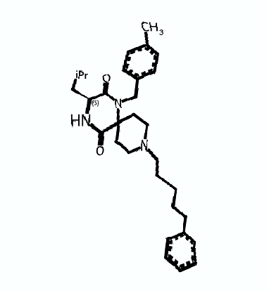 Cc1ccc(CN2C(=O)[C@H](CC(C)C)NC(=O)C23CCN(CCCCCc2ccccc2)CC3)cc1